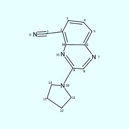 N#Cc1cccc2ncc(N3CCCC3)nc12